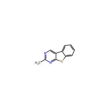 Cc1ncc2c(n1)sc1ccccc12